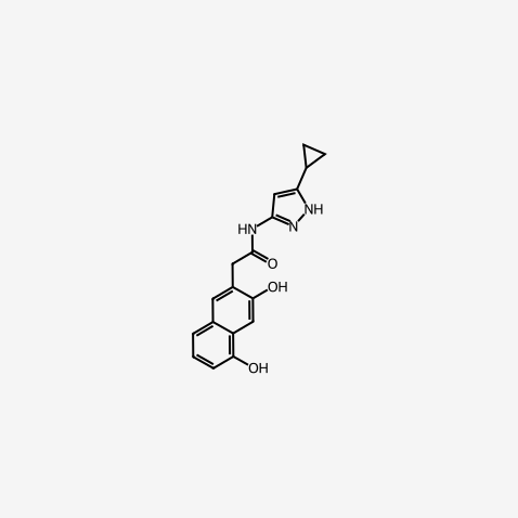 O=C(Cc1cc2cccc(O)c2cc1O)Nc1cc(C2CC2)[nH]n1